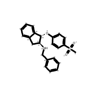 CS(=O)(=O)c1ccc(O[C@H]2c3ccccc3C[C@@H]2NCc2ccccc2)cc1